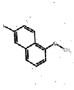 COc1cccc2cc(I)ccc12